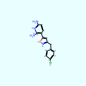 Nc1ccc(-c2cc(Cc3ccc(Br)cc3)no2)c(N)n1